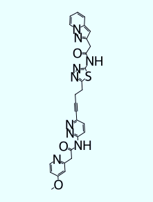 COc1ccnc(CC(=O)Nc2ccc(C#CCCc3nnc(NC(=O)Cc4cc5ccccn5n4)s3)nn2)c1